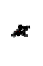 CNc1ccc(CC2CN(CC(=O)O)CCN(CC(=O)O)Cc3cccc(n3)CN2CC(=O)O)cc1